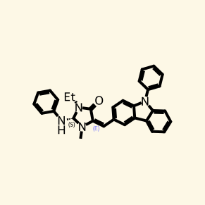 CCN1C(=O)/C(=C\c2ccc3c(c2)c2ccccc2n3-c2ccccc2)N(C)[C@@H]1Nc1ccccc1